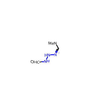 CN/C=N\NNC=O